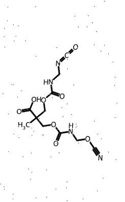 CC(COC(=O)NCN=C=O)(COC(=O)NCOC#N)C(=O)O